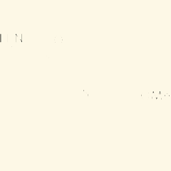 COc1ccccc1CSC(CC(=O)CN)c1ccccc1